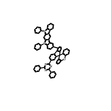 c1ccc(-c2nc(-c3ccccc3)nc(-c3ccc4c(c3)C3(c5ccccc5Oc5ccccc53)c3cccc(-c5ccc6c(c5)c5cc7c8ccccc8n(-c8ccccc8)c7cc5n6-c5ccccc5)c3-4)n2)cc1